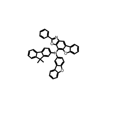 CC1(C)c2ccccc2-c2ccc(N(c3ccc4oc5ccccc5c4c3)c3c4oc(-c5ccccc5)nc4cc4c3oc3ccccc34)cc21